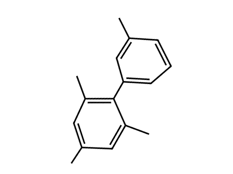 Cc1cccc(-c2c(C)cc(C)cc2C)c1